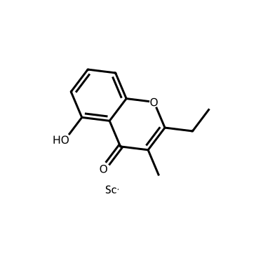 CCc1oc2cccc(O)c2c(=O)c1C.[Sc]